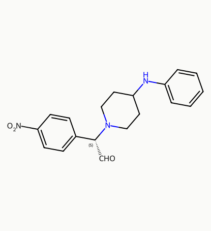 O=C[C@H](c1ccc([N+](=O)[O-])cc1)N1CCC(Nc2ccccc2)CC1